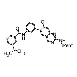 CCCCCNc1ncc2cc(-c3cccc(NC(=O)c4cccc(N(C)C)c4)c3)c(O)cc2n1